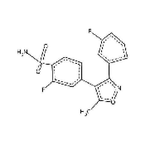 Cc1onc(-c2cccc(F)c2)c1-c1ccc(S(N)(=O)=O)c(F)c1